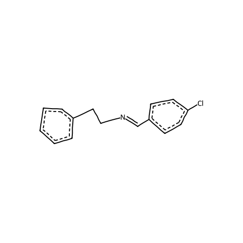 Clc1ccc(/C=N/CCc2ccccc2)cc1